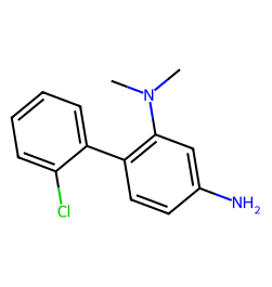 CN(C)c1cc(N)ccc1-c1ccccc1Cl